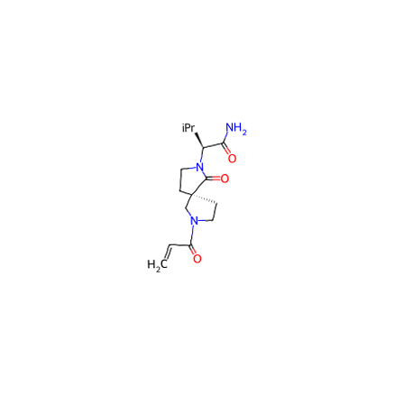 C=CC(=O)N1CC[C@@]2(CCN([C@H](C(N)=O)C(C)C)C2=O)C1